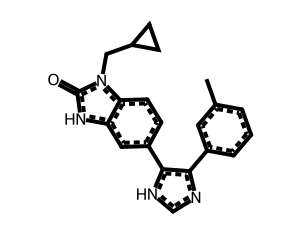 Cc1cccc(-c2nc[nH]c2-c2ccc3c(c2)[nH]c(=O)n3CC2CC2)c1